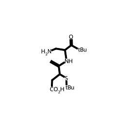 C=C(NC(CN)C(=O)C(C)(C)C)C(CC(=O)O)SC(C)(C)C